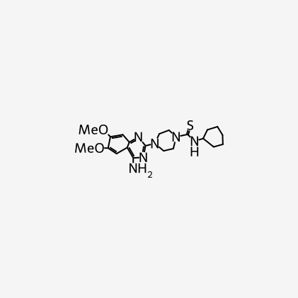 COc1cc2nc(N3CCN(C(=S)NC4CCCCC4)CC3)nc(N)c2cc1OC